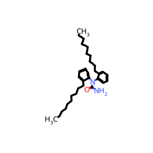 CCCCCCCCCCc1ccccc1N(C(N)=O)c1ccccc1CCCCCCCCCC